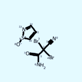 N#CC(Br)(Br)C(N)=O.[O-][s+]1cccn1